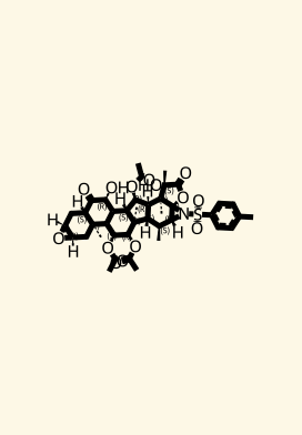 CC(=O)O[C@H]1[C@@H]2[C@H]([C@H](C)[C@H]3N(S(=O)(=O)c4ccc(C)cc4)[C@]34OC(=O)[C@@](C)(O)[C@]24C)[C@]2(C)[C@@H]1C1C([C@H](OC(C)=O)[C@@H]2OC(C)=O)[C@@]2(C)C[C@H]3O[C@H]3C[C@@H]2C(=O)[C@@H]1O